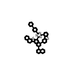 c1ccc(-c2ccc(-c3nc(-c4cccc5c4sc4c6ccccc6ccc54)nc(-c4cccc5sc6ccc(-c7cccc(-c8cccc9ccccc89)c7)cc6c45)n3)cc2)cc1